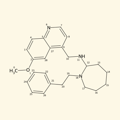 COc1ccc2nccc(CNC3CCCCCN3CCc3ccccc3)c2c1